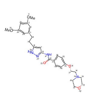 COc1cc(CCc2cc(NC(=O)c3ccc(OCCN4CCOCC4)cc3)n[nH]2)cc(OC)c1